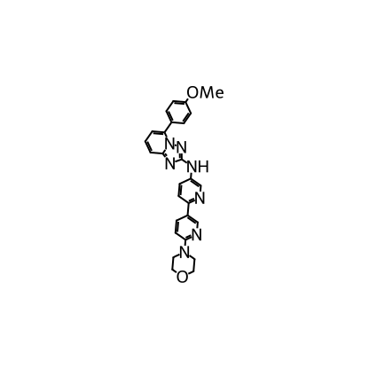 COc1ccc(-c2cccc3nc(Nc4ccc(-c5ccc(N6CCOCC6)nc5)nc4)nn23)cc1